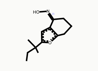 CCC(C)(C)c1cc2c(o1)CCC/C2=N/O